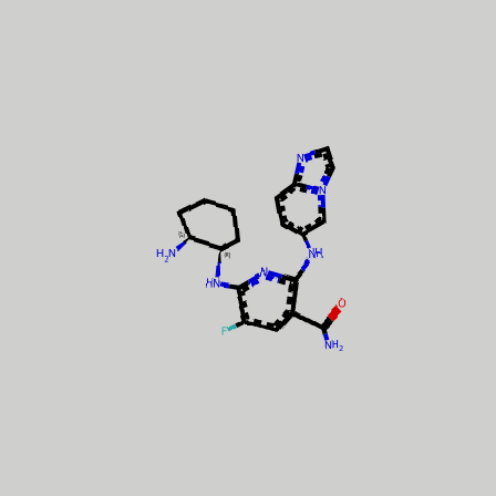 NC(=O)c1cc(F)c(N[C@@H]2CCCC[C@@H]2N)nc1Nc1ccc2nccn2c1